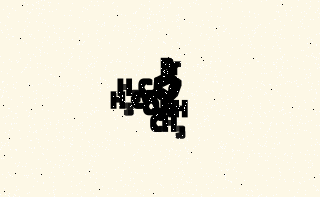 CC1Nc2ccc(Br)cc2C(C)(C)O1